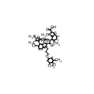 Cc1cc(OCCCc2c3n(c4c(-c5c(C)nn(C)c5C)c(Cl)ccc24)C(C)CN(c2c(C)ccc4cc(C(=O)O)n(C)c24)C3=O)cc(C)c1Cl